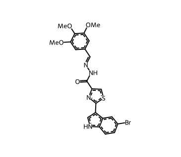 COc1cc(C=NNC(=O)c2csc(-c3c[nH]c4ccc(Br)cc34)n2)cc(OC)c1OC